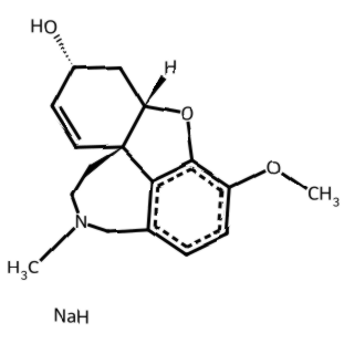 COc1ccc2c3c1O[C@H]1C[C@@H](O)C=C[C@@]31CCN(C)C2.[NaH]